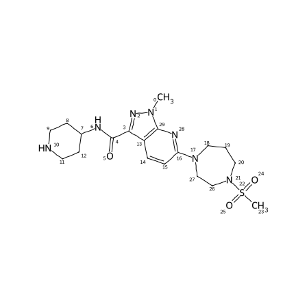 Cn1nc(C(=O)NC2CCNCC2)c2ccc(N3CCCN(S(C)(=O)=O)CC3)nc21